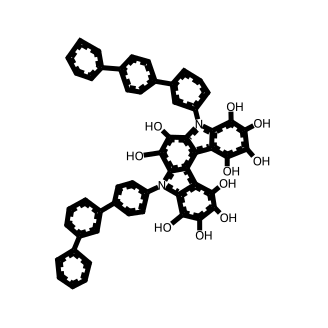 Oc1c(O)c(O)c2c(c1O)c1c3c4c(O)c(O)c(O)c(O)c4n(-c4cccc(-c5ccc(-c6ccccc6)cc5)c4)c3c(O)c(O)c1n2-c1ccc(-c2cccc(-c3ccccc3)c2)cc1